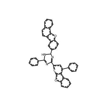 c1ccc(C2=NC(c3cc(-c4ccccc4)c4c(c3)oc3ccccc34)=NC(c3ccc4oc5c6ccccc6ccc5c4c3)N2)cc1